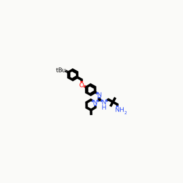 CC1CCCN(/C(=N\c2ccc(OCc3ccc(C(C)(C)C)cc3)cc2)NCC(C)(C)CN)C1